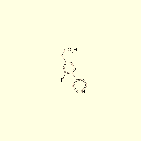 CC(C(=O)O)c1ccc(-c2ccncc2)c(F)c1